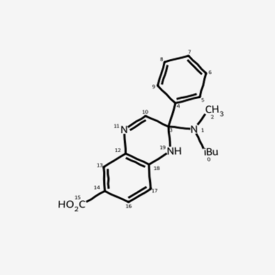 CCC(C)N(C)C1(c2ccccc2)C=Nc2cc(C(=O)O)ccc2N1